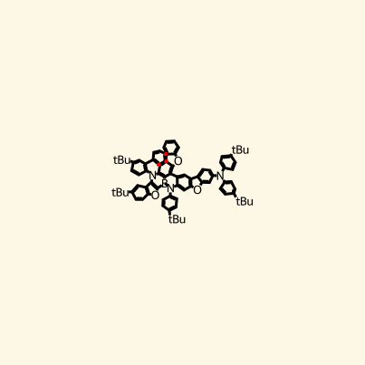 CC(C)(C)c1ccc(N2B3c4oc5ccc(C(C)(C)C)cc5c4N(c4ccc(C(C)(C)C)cc4-c4ccccc4)c4cc5c(oc6ccccc65)c(c43)-c3cc4c(cc32)oc2cc(N(c3ccc(C(C)(C)C)cc3)c3ccc(C(C)(C)C)cc3)ccc24)cc1